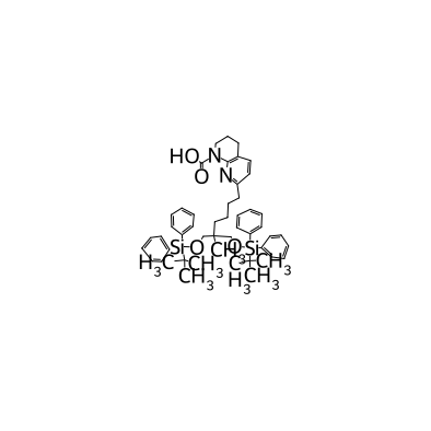 CC(CCCCc1ccc2c(n1)N(C(=O)O)CCC2)(CO[Si](c1ccccc1)(c1ccccc1)C(C)(C)C)CO[Si](c1ccccc1)(c1ccccc1)C(C)(C)C